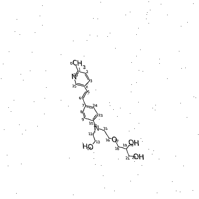 Cc1ccc(/C=C/c2ccc(N(CCO)CCOCC(O)CO)cc2)cn1